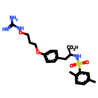 Cc1ccc(C)c(S(=O)(=O)N[C@@H](Cc2ccc(OCCCONC(=N)N)cc2)C(=O)O)c1